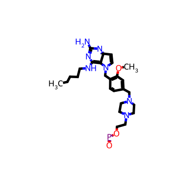 CCCCCNc1nc(N)nc2ccn(Cc3ccc(CN4CCN(CCOP=O)CC4)cc3OC)c12